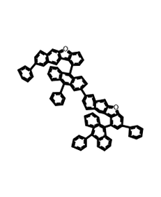 c1ccc(-c2ccc3cc4oc5cccc(-c6c7ccccc7c(-c7ccccc7)c7cc(-c8ccc9cc%10c(cc9c8)oc8cc(-c9ccccc9)cc(-c9c%11ccccc%11c(-c%11ccccc%11)c%11ccccc9%11)c8%10)ccc67)c5c4cc3c2)cc1